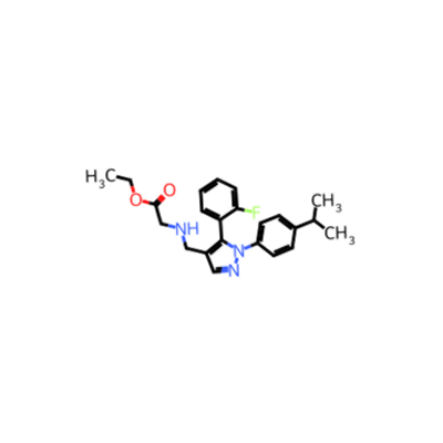 CCOC(=O)CNCc1cnn(-c2ccc(C(C)C)cc2)c1-c1ccccc1F